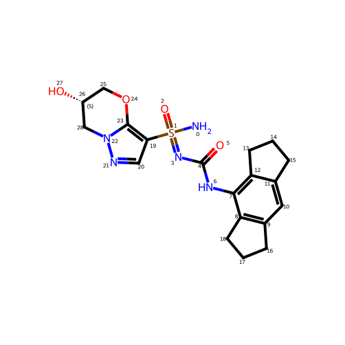 NS(=O)(=NC(=O)Nc1c2c(cc3c1CCC3)CCC2)c1cnn2c1OC[C@@H](O)C2